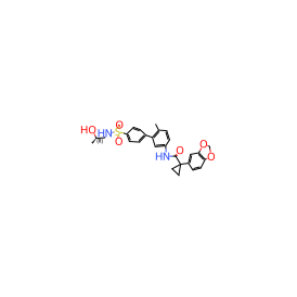 Cc1ccc(NC(=O)C2(c3ccc4c(c3)OCO4)CC2)cc1-c1ccc(S(=O)(=O)NC[C@@H](C)O)cc1